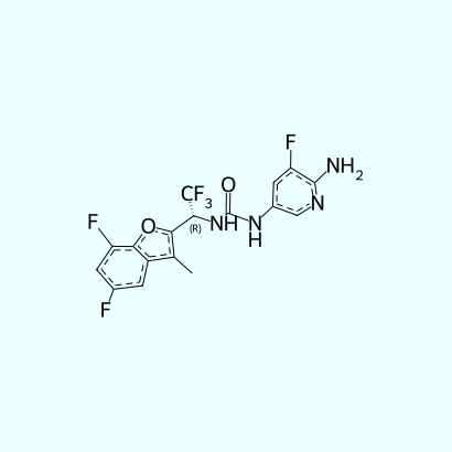 Cc1c([C@@H](NC(=O)Nc2cnc(N)c(F)c2)C(F)(F)F)oc2c(F)cc(F)cc12